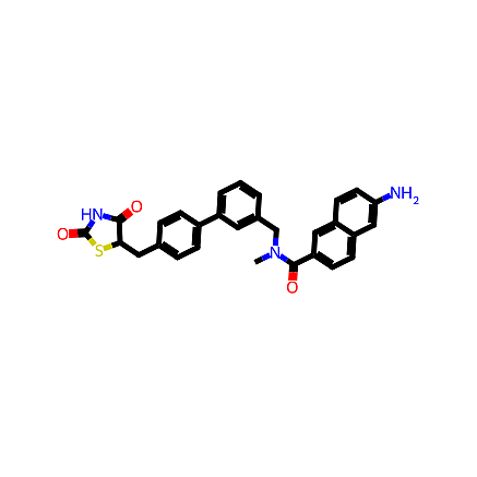 CN(Cc1cccc(-c2ccc(CC3SC(=O)NC3=O)cc2)c1)C(=O)c1ccc2cc(N)ccc2c1